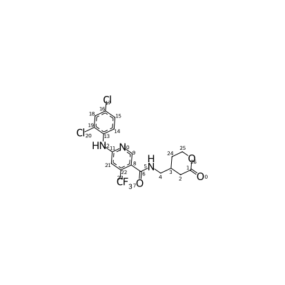 O=C1CC(CNC(=O)c2cnc(Nc3ccc(Cl)cc3Cl)cc2C(F)(F)F)CCO1